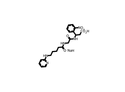 O=C(O)CC(NC(=O)CNC(=O)CCCCNc1ccccn1)c1ccccc1[N+](=O)[O-].[NaH]